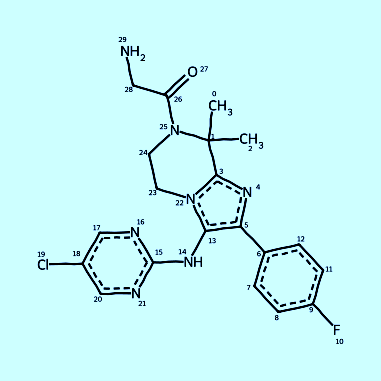 CC1(C)c2nc(-c3ccc(F)cc3)c(Nc3ncc(Cl)cn3)n2CCN1C(=O)CN